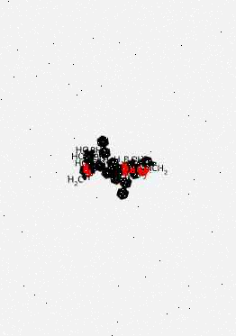 Bc1c(B)c(O)c(C23CC4=C[C@@H](C5=CCCC2=C5c2ccc(N(c5ccc(-c6ccccc6)cc5)c5ccc6c(c5)C(c5ccccc5)(c5ccccc5)c5cc(N(c7ccc(-c8ccccc8)cc7)c7ccc8c(c7)C7(c9c(B)c(B)c(O)c(O)c9O)CC9=C[C@H](C%10=CCCC7=C%108)C(C=C)CC9)ccc5-6)cc23)C(C=C)CC4)c(B)c1O